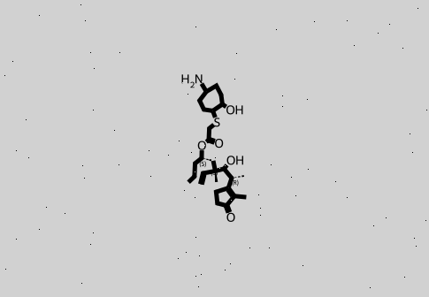 C=C[C@](C)(C[C@H](CCC)OC(=O)CSC1CCC(N)CCC1O)C(O)[C@H](C)C1=C(C)C(=O)CC1